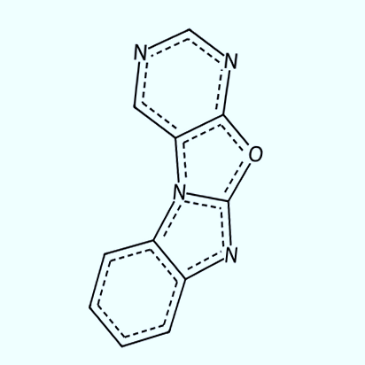 c1ccc2c(c1)nc1oc3ncncc3n12